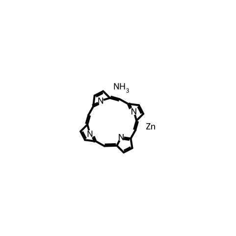 C1=CC2=NC1=CC1=NC(=CC3=NC(=CC4=NC(=C2)C=C4)C=C3)C=C1.N.[Zn]